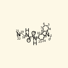 CCn1c2ccccc2c2cc(NC(=O)C(=O)NCCN(C)C)ccc21